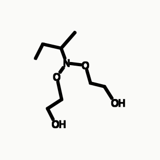 CCC(C)N(OCCO)OCCO